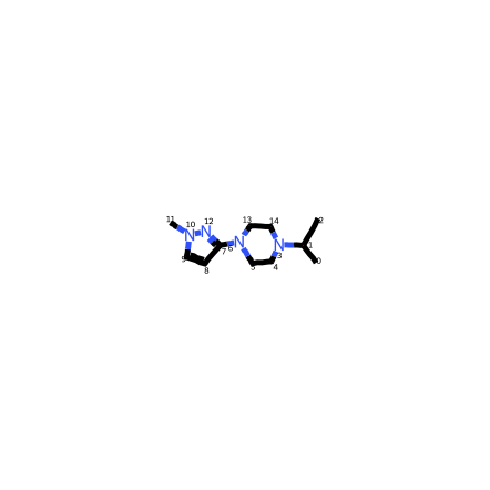 CC(C)N1CCN(c2ccn(C)n2)CC1